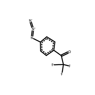 [N-]=[N+]=Nc1ccc(C(=O)C(F)(F)F)cc1